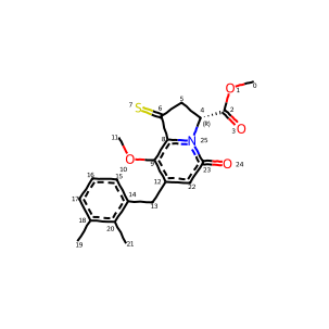 COC(=O)[C@H]1CC(=S)c2c(OC)c(Cc3cccc(C)c3C)cc(=O)n21